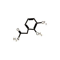 Cc1c(CC(N)=O)cccc1C(F)(F)F